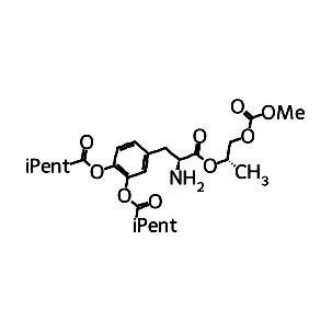 CCCC(C)C(=O)Oc1ccc(C[C@H](N)C(=O)O[C@@H](C)COC(=O)OC)cc1OC(=O)C(C)CCC